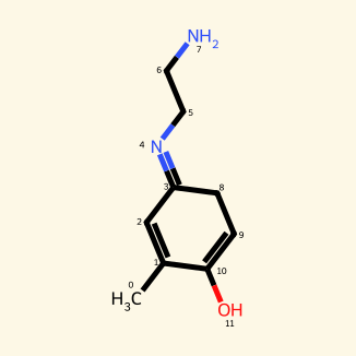 CC1=CC(=NCCN)CC=C1O